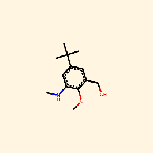 CNc1cc(C(C)(C)C)cc(CO)c1OC